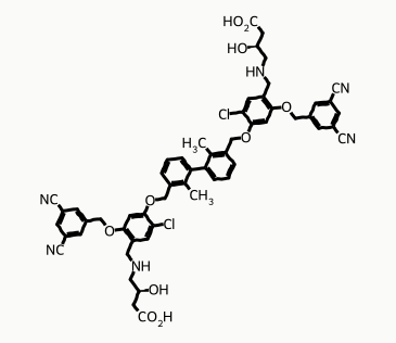 Cc1c(COc2cc(OCc3cc(C#N)cc(C#N)c3)c(CNC[C@@H](O)CC(=O)O)cc2Cl)cccc1-c1cccc(COc2cc(OCc3cc(C#N)cc(C#N)c3)c(CNC[C@@H](O)CC(=O)O)cc2Cl)c1C